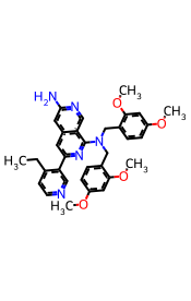 CCc1ccncc1-c1cc2cc(N)ncc2c(N(Cc2ccc(OC)cc2OC)Cc2ccc(OC)cc2OC)n1